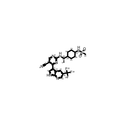 C[C@@H](Nc1ncc(C#N)c(-c2c[nH]c3ncc(C(F)(F)F)cc23)n1)C1CCC(NS(C)(=O)=O)CC1